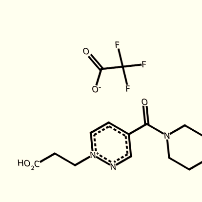 O=C(O)CC[n+]1ccc(C(=O)N2CCCCC2)cn1.O=C([O-])C(F)(F)F